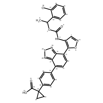 CC(OC(=O)Nc1cnoc1-c1ccc(-c2ccc(C3(C(=O)O)CC3)cc2)c2nsnc12)c1ccccc1Cl